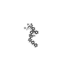 C=Cc1c(/C=C\C)oc2c1ccc1c2c2ccc(C3N=CC(c4cccc(-c5ccc(-c6ccccc6)cc5)c4)=CN3)cc2n1-c1ccccc1